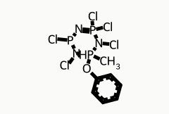 C[PH]1(Oc2ccccc2)N(Cl)P(Cl)N=P(Cl)(Cl)N1Cl